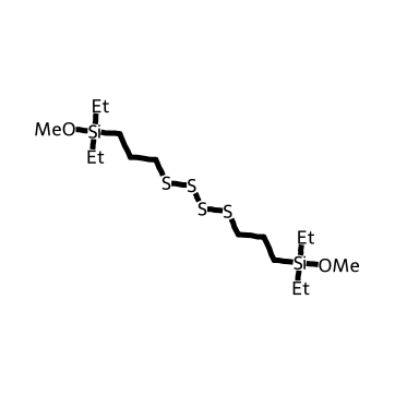 CC[Si](CC)(CCCSSSSCCC[Si](CC)(CC)OC)OC